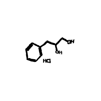 Cl.OCC(O)Cc1ccccc1